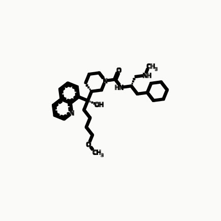 CNC[C@H](CC1CCCCC1)NC(=O)N1CCC[C@@H]([C@@](O)(CCCCOC)c2cccc3cccnc23)C1